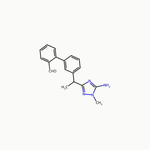 CC(c1cccc(-c2ccccc2C=O)c1)c1nc(N)n(C)n1